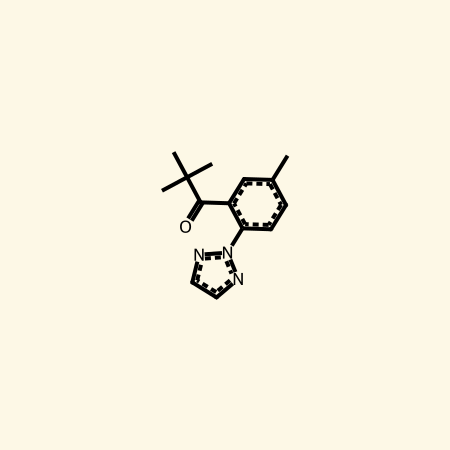 Cc1ccc(-n2nccn2)c(C(=O)C(C)(C)C)c1